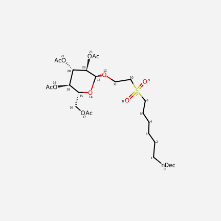 CCCCCCCCCCCCCCCCS(=O)(=O)CCO[C@H]1O[C@H](COC(C)=O)[C@@H](OC(C)=O)[C@H](OC(C)=O)[C@H]1OC(C)=O